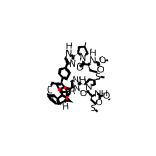 COC(=O)N[C@@H](CCSC)C(=O)N1C[C@H](C)C[C@H]1c1nc(-c2ccc(C3=C4C=C[C@H](C3)C3C[C@@H]3c3ccc(cc3-c3ccc(-c5c[nH]c([C@@H]6C[C@@H](C)CN6C(=O)[C@H](CCSC)NC(=O)OC)n5)cc3)CC4)cc2)c[nH]1